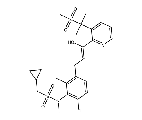 Cc1c(C/C=C(\O)c2ncccc2C(C)(C)S(C)(=O)=O)ccc(Cl)c1N(C)S(=O)(=O)CC1CC1